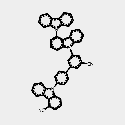 N#Cc1cc(-c2ccc(-n3c4ccccc4c4c(C#N)cccc43)cc2)cc(-n2c3ccccc3c3c(-n4c5ccccc5c5ccccc54)cccc32)c1